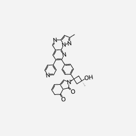 Cc1cc2ncc3cc(-c4ccncc4)c(-c4ccc([C@]5(N6C=C7C=CCC(=O)C7C6=O)C[C@@](C)(O)C5)cc4)nc3n2n1